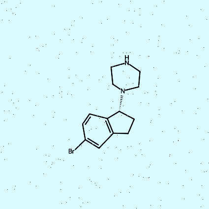 Brc1ccc2c(c1)CC[C@H]2N1CCNCC1